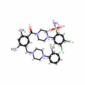 Cc1cc(C)c(C(=O)N2CCN(c3cc(F)c(F)cc3S(N)(=O)=O)CC2)cc1CN1CCN(c2ccccc2C#N)CC1